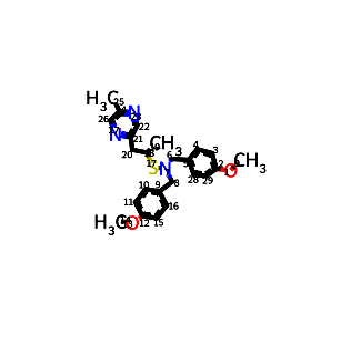 COc1ccc(CN(Cc2ccc(OC)cc2)SC(C)Cc2cnc(C)cn2)cc1